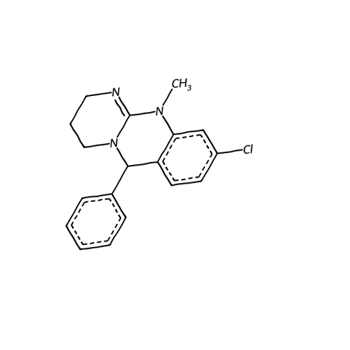 CN1C2=NCCCN2C(c2ccccc2)c2ccc(Cl)cc21